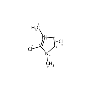 CN1CC[N+](C)=C1Cl.Cl